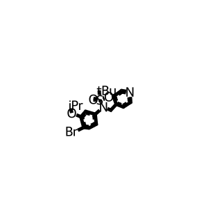 CC(C)Oc1cc(N(Cc2ccncc2)S(=O)(=O)C(C)(C)C)ccc1Br